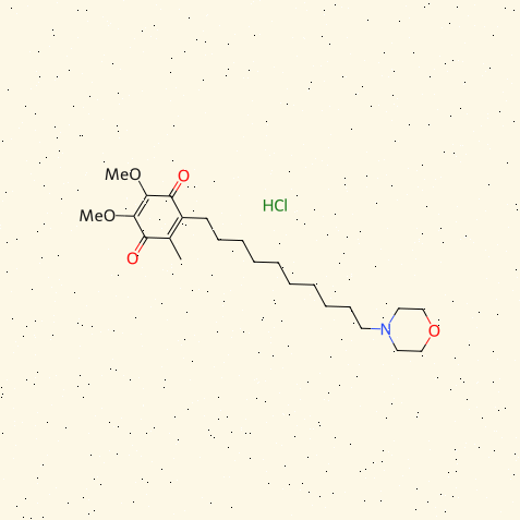 COC1=C(OC)C(=O)C(CCCCCCCCCCN2CCOCC2)=C(C)C1=O.Cl